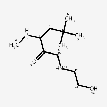 CPC(CC(C)(C)C)C(=O)CNCCO